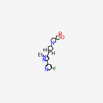 CCn1nc(-c2cncc(F)c2)cc1C1[C@H]2CC(N3CCC4(C3)CS(=O)(=O)C4)C[C@@H]12